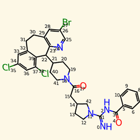 N=C(NC(=O)c1ccccc1)N1CCC(CC(=O)N2CCC(C3c4ncc(Br)cc4CCc4cc(Cl)cc(Cl)c43)CC2)C1